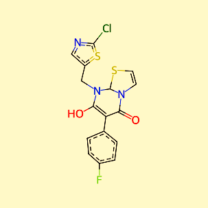 O=C1C(c2ccc(F)cc2)=C(O)N(Cc2cnc(Cl)s2)C2SC=CN12